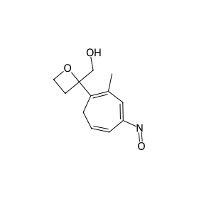 CC1=C(C2(CO)CCO2)CC=CC(N=O)=C1